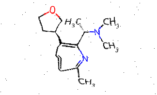 Cc1ccc([C@H]2CCOC2)c([C@H](C)N(C)C)n1